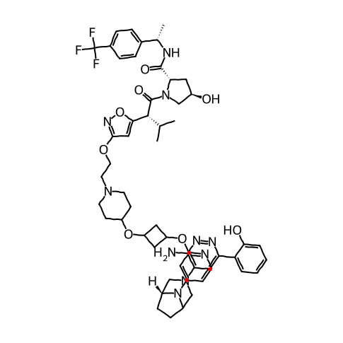 CC(C)[C@@H](C(=O)N1C[C@H](O)C[C@H]1C(=O)N[C@@H](C)c1ccc(C(F)(F)F)cc1)c1cc(OCCN2CCC(OC3CC(Oc4cc(N5C6CC[C@@H]5CN(c5cc(-c7ccccc7O)nnc5N)C6)ccn4)C3)CC2)no1